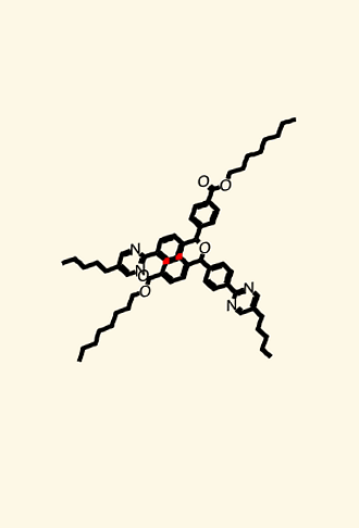 CCCCCCCCOC(=O)c1ccc(C(OC(c2ccc(C(=O)OCCCCCCCC)cc2)c2ccc(-c3ncc(CCCCC)cn3)cc2)c2ccc(-c3ncc(CCCCC)cn3)cc2)cc1